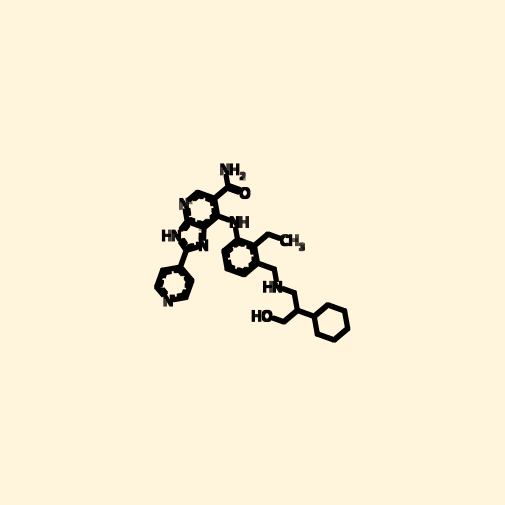 CCc1c(CNCC(CO)C2CCCCC2)cccc1Nc1c(C(N)=O)cnc2[nH]c(-c3ccncc3)nc12